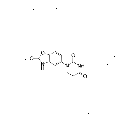 O=C1CCN(c2ccc3oc(=O)[nH]c3c2)C(=O)N1